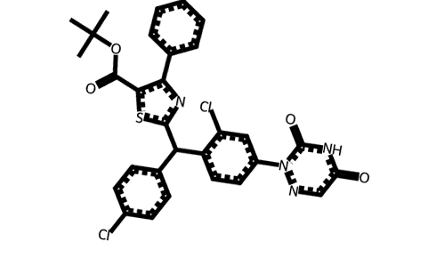 CC(C)(C)OC(=O)c1sc(C(c2ccc(Cl)cc2)c2ccc(-n3ncc(=O)[nH]c3=O)cc2Cl)nc1-c1ccccc1